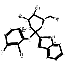 OC[C@H]1OC(Oc2cccc(Br)c2Cl)(c2cc3ccccc3[nH]2)[C@H](O)[C@@H](O)[C@H]1O